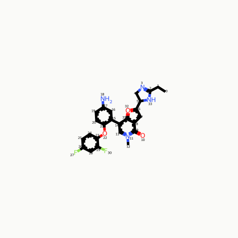 CCC1=NCC(c2cc3c(=O)n(C)cc(-c4cc(N)ccc4Oc4ccc(F)cc4F)c3o2)N1